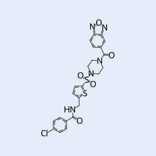 O=C(NCc1ccc(S(=O)(=O)N2CCN(C(=O)c3ccc4nonc4c3)CC2)s1)c1ccc(Cl)cc1